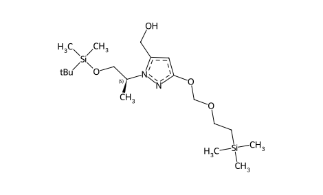 C[C@@H](CO[Si](C)(C)C(C)(C)C)n1nc(OCOCC[Si](C)(C)C)cc1CO